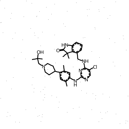 Cc1cc(C2CCN(CC(C)(C)O)CC2)c(C)cc1Nc1ncc(Cl)c(NCc2cccc3c2C(C)(C)C(=O)N3)n1